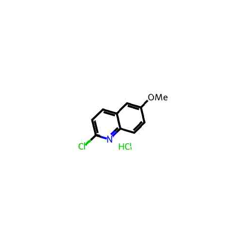 COc1ccc2nc(Cl)ccc2c1.Cl